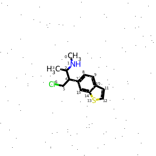 CNC(C)C(CCl)c1ccc2ccsc2c1